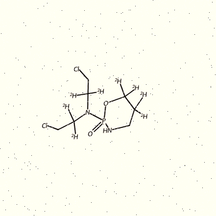 [2H]C([2H])(CCl)N(C([2H])([2H])CCl)P1(=O)NCC([2H])([2H])C([2H])([2H])O1